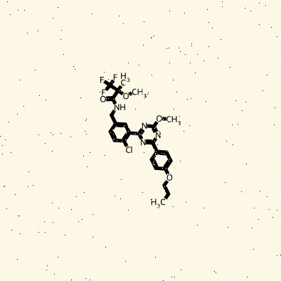 CCCOc1ccc(-c2nc(OC)nc(-c3cc(CNC(=O)C(C)(OC)C(F)(F)F)ccc3Cl)n2)cc1